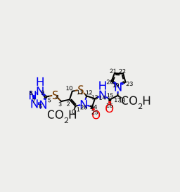 O=C(O)C1=C(CSc2nnn[nH]2)CSC2C(NC(=O)C(C(=O)O)n3cccc3)C(=O)N12